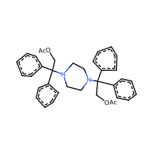 CC(=O)OCC(c1ccccc1)(c1ccccc1)N1CCN(C(COC(C)=O)(c2ccccc2)c2ccccc2)CC1